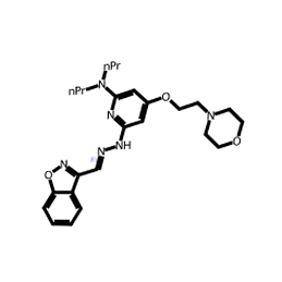 CCCN(CCC)c1cc(OCCN2CCOCC2)cc(N/N=C/c2noc3ccccc23)n1